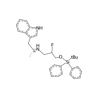 C[C@H](Cc1c[nH]c2ccccc12)NCC(F)CO[Si](c1ccccc1)(c1ccccc1)C(C)(C)C